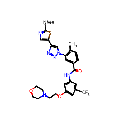 CNc1ncc(-c2cn(-c3cc(C(=O)Nc4cc(OCCN5CCOCC5)cc(C(F)(F)F)c4)ccc3C)nn2)s1